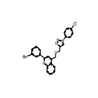 Clc1ccc(-n2cc(COCc3cc(-c4cccc(Br)c4)nc4ccccc34)nn2)cc1